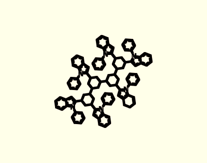 C1=Cc2c(cc(C3CC(C4CC(c5cc6ccccc6n5-c5ccccc5)CC(c5cc6ccccc6n5-c5ccccc5)C4)CC(C4CC(c5cc6ccccc6n5-c5ccccc5)CC(C5CC(c6cc7ccccc7n6-c6ccccc6)CC(c6cc7ccccc7n6-c6ccccc6)C5)C4)C3)n2-c2ccccc2)CC1